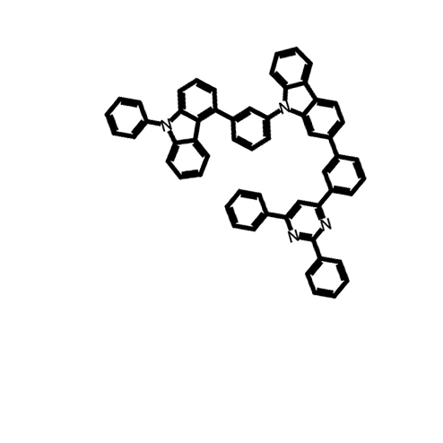 c1ccc(-c2cc(-c3cccc(-c4ccc5c6ccccc6n(-c6cccc(-c7cccc8c7c7ccccc7n8-c7ccccc7)c6)c5c4)c3)nc(-c3ccccc3)n2)cc1